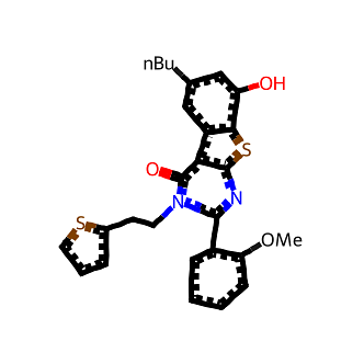 CCCCc1cc(O)c2sc3nc(-c4ccccc4OC)n(CCc4cccs4)c(=O)c3c2c1